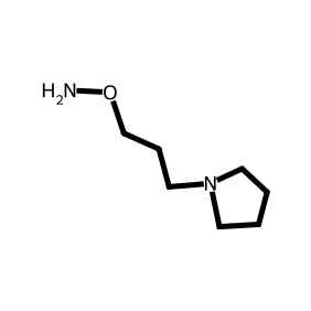 NOCCCN1CCCC1